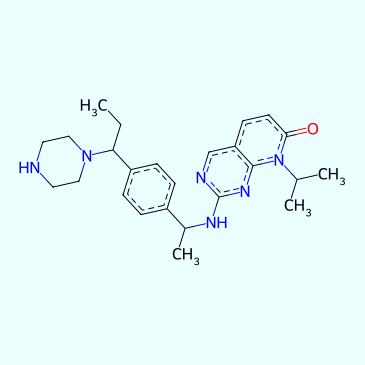 CCC(c1ccc(C(C)Nc2ncc3ccc(=O)n(C(C)C)c3n2)cc1)N1CCNCC1